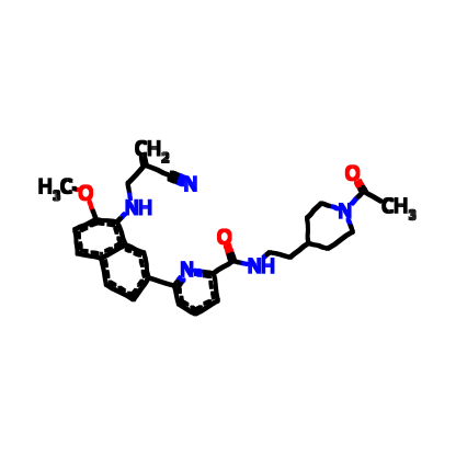 C=C(C#N)CNc1c(OC)ccc2ccc(-c3cccc(C(=O)NCCC4CCN(C(C)=O)CC4)n3)cc12